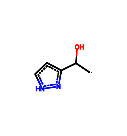 [CH2]C(O)c1cc[nH]n1